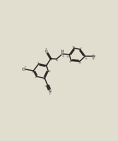 N#Cc1cc(Cl)cc(C(=O)CNc2ccc(Br)cc2)c1